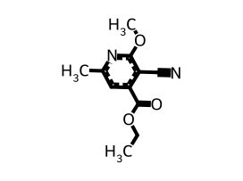 CCOC(=O)c1cc(C)nc(OC)c1C#N